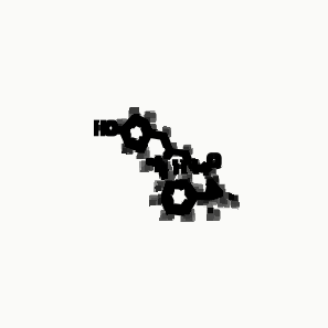 C[C@H]1[C@@H](C(=O)NC[C@H](Cc2ccc(O)cc2)N(C)C)[C@]1(C)c1ccccc1